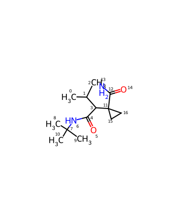 CC(C)C(C(=O)NC(C)(C)C)C1(C(N)=O)CC1